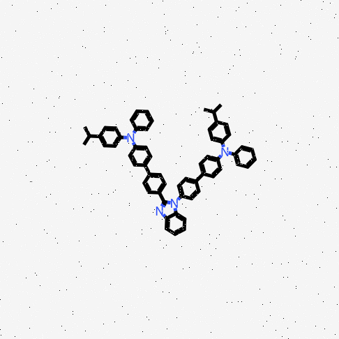 CC(C)c1ccc(N(c2ccccc2)c2ccc(-c3ccc(-c4nc5ccccc5n4-c4ccc(-c5ccc(N(c6ccccc6)c6ccc(C(C)C)cc6)cc5)cc4)cc3)cc2)cc1